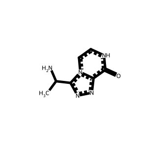 CC(N)c1nnc2c(=O)[nH]ccn12